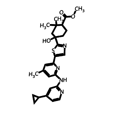 COC(=O)C1CCC(O)(c2ncc(-c3cc(C)cc(Nc4cc(C5CC5)ccn4)n3)s2)CC1(C)C